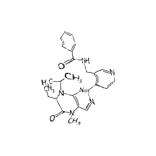 CCC1C(=O)N(C)c2cnc(-c3ccncc3CNC(=O)c3ccccc3)nc2N1C(C)C